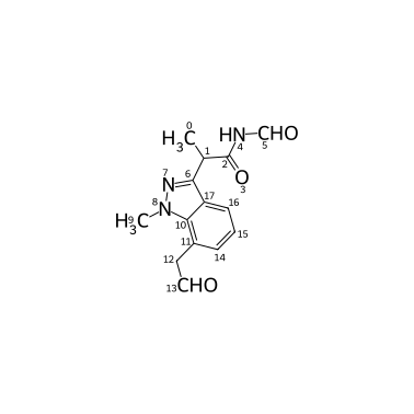 CC(C(=O)NC=O)c1nn(C)c2c(CC=O)cccc12